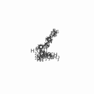 [2H]C([2H])([2H])N=S1(=O)C[C@@](C)(c2cc(-c3cc(-c4ncc(OCC(F)(F)C(F)F)cn4)no3)ccc2F)N=C(NC(=O)OC(C)(C)C)C1(C)C